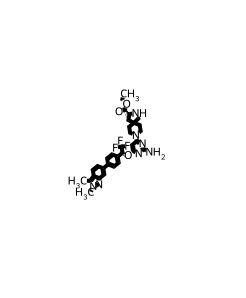 CCOC(=O)[C@@H]1CC2(CCN(c3cc(O[C@H](c4ccc(-c5ccc6c(C)n(C)nc6c5)cc4)C(F)(F)F)nc(N)n3)CC2)CN1